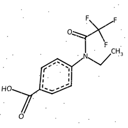 CCN(C(=O)C(F)(F)F)c1ccc(C(=O)O)cc1